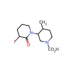 CC1CCN(C(=O)O)CC1N1CCCC(I)C1=O